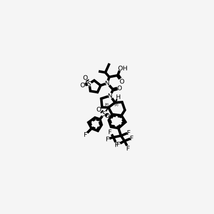 CC(C)C(C(=O)O)N(C(=O)N1CC[C@@]2(S(=O)(=O)c3ccc(F)cc3)c3ccc(C(F)(C(F)(F)F)C(F)(F)F)cc3CC[C@@H]12)C1CCS(=O)(=O)C1